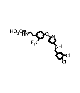 O=C(O)CNCCc1ccc(Oc2ccc(NCc3ccc(Cl)c(Cl)c3)cn2)cc1C(F)(F)F